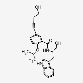 CC(C)Oc1ccc(C#CCCO)cc1C(=O)N[C@@H](CO)Cc1c[nH]c2ccccc12